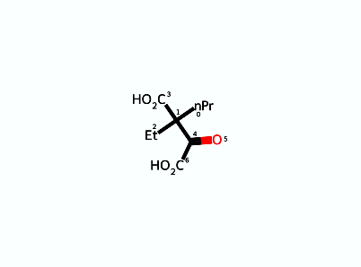 CCCC(CC)(C(=O)O)C(=O)C(=O)O